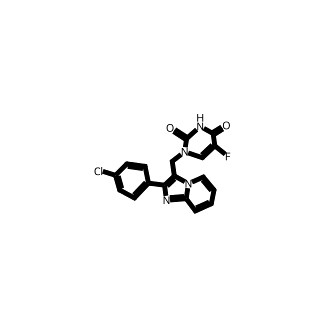 O=c1[nH]c(=O)n(Cc2c(-c3ccc(Cl)cc3)nc3ccccn23)cc1F